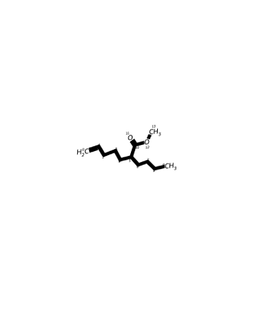 C=CCCCC(CCCC)C(=O)OC